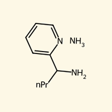 CCCC(N)c1ccccn1.N